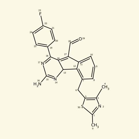 Cc1nc(C)c(Cc2cccc3c2C2N=C(N)N=C(c4ccc(F)cc4)C2=C3C=O)s1